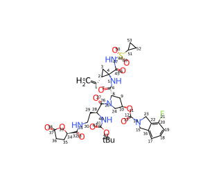 C=C[C@@H]1C[C@]1(NC(=O)[C@@H]1C[C@@H](OC(=O)N2Cc3cccc(F)c3C2)CN1C(=O)[C@H](CCNC(=O)[C@H]1CCC(=O)O1)NC(=O)OC(C)(C)C)C(=O)NS(=O)(=O)C1CC1